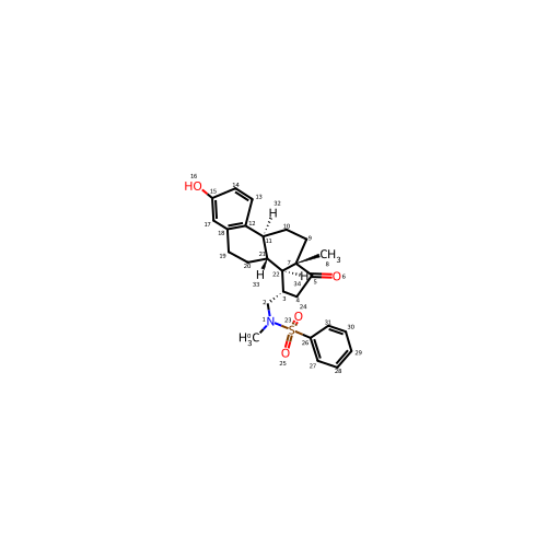 CN(C[C@H]1CC(=O)[C@@]2(C)CC[C@@H]3c4ccc(O)cc4CC[C@H]3[C@H]12)S(=O)(=O)c1ccccc1